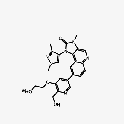 COCCOc1cc(-c2ccc3ncc4c(c3c2)n(-c2cn(C)nc2C)c(=O)n4C)cnc1CO